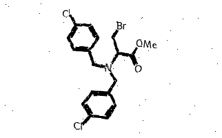 COC(=O)C(CBr)N(Cc1ccc(Cl)cc1)Cc1ccc(Cl)cc1